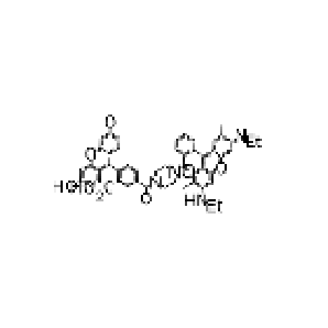 CC/N=c1\cc2oc3cc(NCC)c(C)cc3c(-c3ccccc3C(=O)N3CCN(C(=O)c4ccc(-c5c6ccc(=O)cc-6oc6cc(O)ccc56)c(C(=O)O)c4)CC3)c-2cc1C